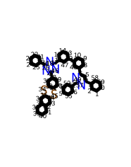 c1ccc(-c2cc(-c3cccc(-c4cccc(-c5nc(-c6ccccc6)nc(-c6ccc7c(c6)Sc6cc8ccccc8cc6S7)n5)c4)c3)nc(-c3ccccc3)n2)cc1